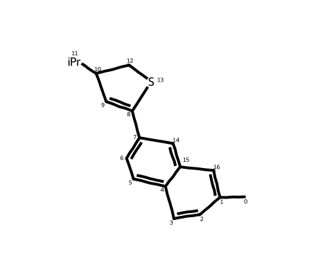 Cc1ccc2ccc(C3=CC(C(C)C)CS3)cc2c1